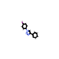 Ic1ccc(-n2cc(-c3ccccc3)nn2)cc1